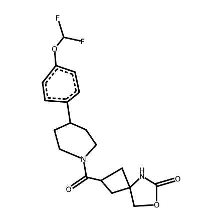 O=C1NC2(CO1)CC(C(=O)N1CCC(c3ccc(OC(F)F)cc3)CC1)C2